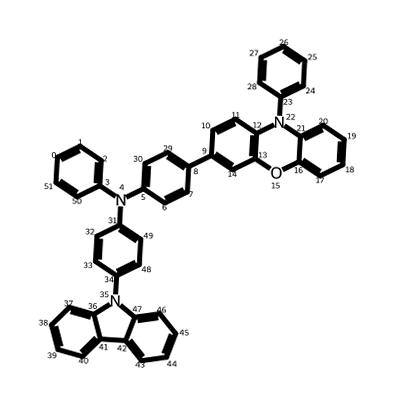 c1ccc(N(c2ccc(-c3ccc4c(c3)Oc3ccccc3N4c3ccccc3)cc2)c2ccc(-n3c4ccccc4c4ccccc43)cc2)cc1